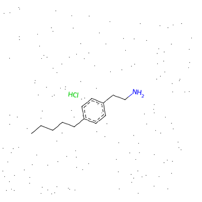 CCCCCc1ccc(CCN)cc1.Cl